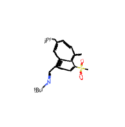 Cc1ccc(C(C)C)cc2c(C=NC(C)(C)C)cc(S(C)(=O)=O)c1-2